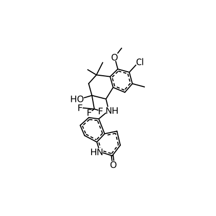 COc1c(Cl)c(C)cc2c1C(C)(C)CC(O)(C(F)(F)F)C2Nc1cccc2[nH]c(=O)ccc12